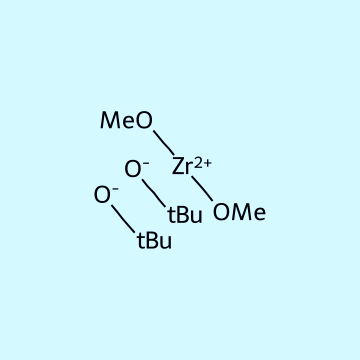 CC(C)(C)[O-].CC(C)(C)[O-].C[O][Zr+2][O]C